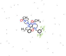 CC(=O)N1CCN(c2nc(-c3ccccc3C)c3c(n2)N(C(C)=O)CCCN(Cc2cc(C(F)(F)F)cc(C(F)(F)F)c2)C3=O)CC1